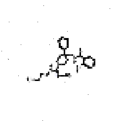 COc1ccccc1C(=O)NCC1(c2ccccc2)CCN(/C(=N\C#N)NCCCN)CC1